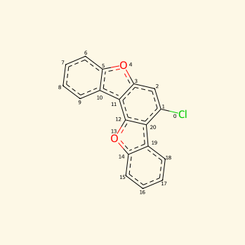 Clc1cc2oc3ccccc3c2c2oc3ccccc3c12